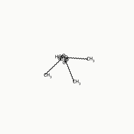 CCCCCCCCCCCCCCCCCC(=O)OCC(OC(=O)CCCCCCCCCCCCCCCCC)C1OCC(O)C1OC(=O)CCCCCCCCCCCCCCCCC